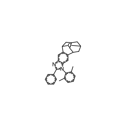 Cc1cccc(C)c1-n1c(-c2ccccc2)nc2cc3c(cc21)C1CC2CC(CC3C2)C1